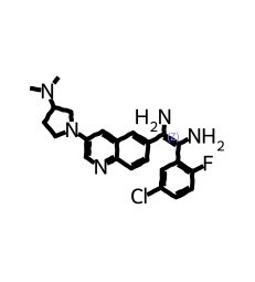 CN(C)C1CCN(c2cnc3ccc(/C(N)=C(/N)c4cc(Cl)ccc4F)cc3c2)C1